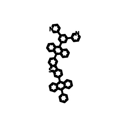 c1ccc(-c2c3ccccc3c(-c3ccc4c(c3)sc3ccc(-c5c6ccccc6c(-c6cc(-c7cccnc7)cc(-c7cccnc7)c6)c6ccccc56)cc34)c3ccccc23)cc1